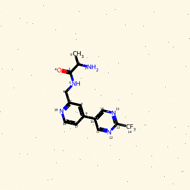 CC(N)C(=O)NCc1cc(-c2cnc(C(F)(F)F)nc2)ccn1